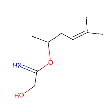 CC(C)=CCC(C)OC(=N)CO